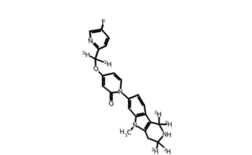 [2H]C1([2H])Cc2c(c3ccc(-n4ccc(OC([2H])([2H])c5ccc(F)cn5)cc4=O)cc3n2C)C([2H])([2H])N1